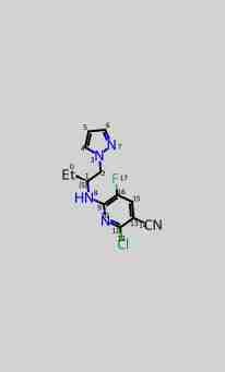 CC[C@@H](Cn1cccn1)Nc1nc(Cl)c(C#N)cc1F